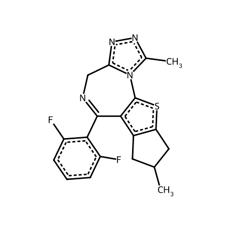 Cc1nnc2n1-c1sc3c(c1C(c1c(F)cccc1F)=NC2)CC(C)C3